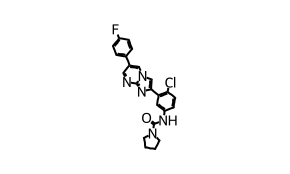 O=C(Nc1ccc(Cl)c(-c2cn3cc(-c4ccc(F)cc4)cnc3n2)c1)N1CCCC1